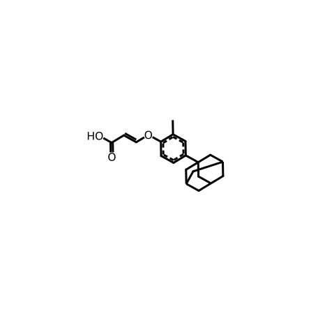 Cc1cc(C23CC4CC(CC(C4)C2)C3)ccc1OC=CC(=O)O